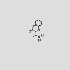 CCN(CC)C(C)C1N=c2ccccc2=NC1=O